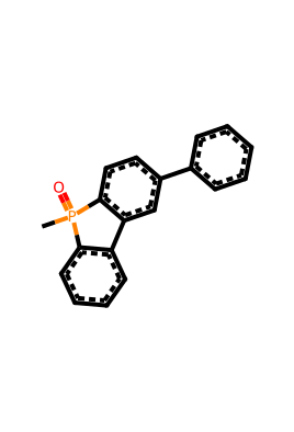 CP1(=O)c2ccccc2-c2cc(-c3ccccc3)ccc21